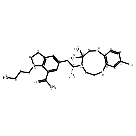 C[C@H](Cc1cc2c(c(C(N)=O)c1)N(CCCO)CC2)N1CCOc2cc(F)ccc2OCC1(C)C